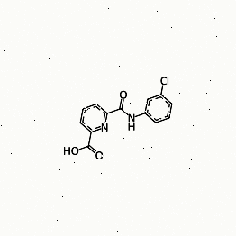 O=C(O)c1cccc(C(=O)Nc2cccc(Cl)c2)n1